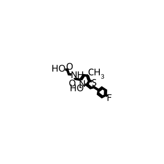 CC1=C2SC(c3ccc(F)cc3)C=C2N(O)C(C(=O)NCC(=O)O)=C1